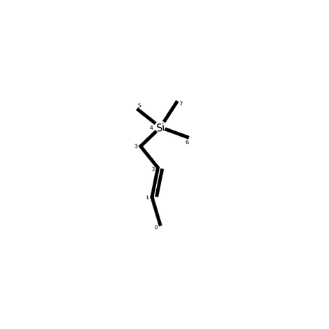 CC=C[CH][Si](C)(C)C